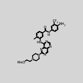 COCCN1CCN(c2ncc3ncnc(Nc4cc(C(=O)Nc5ccc(N)c(C(F)(F)F)c5)ccc4C)c3n2)CC1